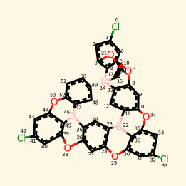 Clc1cc2c3c(c1)Oc1cc4c(cc1B3c1ccccc1O2)B1c2cc3c(cc2Oc2cc(Cl)cc(c21)O4)Oc1cc(Cl)cc2c1B3c1ccccc1O2